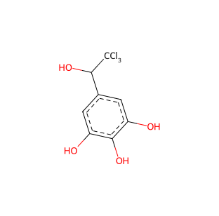 Oc1cc(C(O)C(Cl)(Cl)Cl)cc(O)c1O